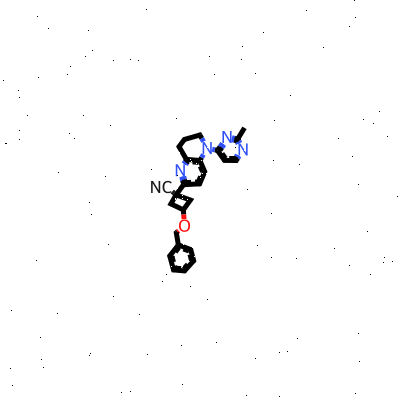 Cc1nccc(N2CCCc3nc(C4(C#N)CC(OCc5ccccc5)C4)ccc32)n1